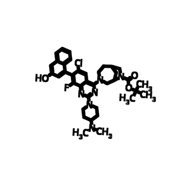 CN(C)C1CCN(c2nc(N3CCC4CC(C3)N(C(=O)OC(C)(C)C)C4)c3cc(Cl)c(-c4cc(O)cc5ccccc45)c(F)c3n2)CC1